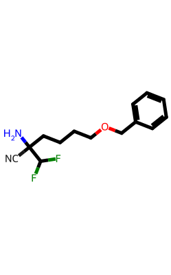 N#CC(N)(CCCCOCc1ccccc1)C(F)F